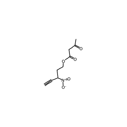 C#CC(CCOC(=O)CC(C)=O)[N+](=O)[O-]